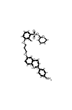 Cc1c(OCCCOc2ccc3nc(-c4ccc(N)cc4)ccc3c2)cccc1S(=O)(=O)OC1CCCCO1